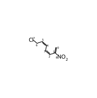 C=C(/C=C\C=C/CCl)[N+](=O)[O-]